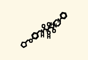 O=C(NCc1ccc(OCC2CCCC2)cc1)[C@H](O)[C@@H](O)C(=O)N1CCN(c2ccccc2)CC1